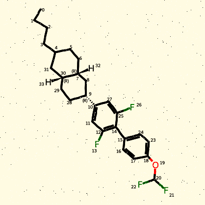 CCCCC1CC[C@@H]2C[C@H](c3cc(F)c(-c4ccc(OC(F)F)cc4)c(F)c3)CC[C@@H]2C1